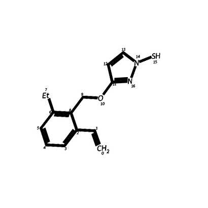 C=Cc1cccc(CC)c1COc1ccn(S)n1